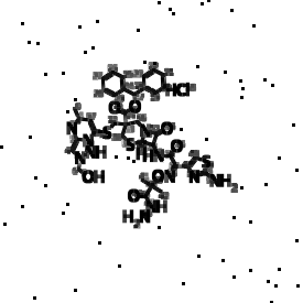 CC1=NC2=CN(CO)NN2C(SCC2(C(=O)OC(c3ccccc3)c3ccccc3)CS[C@@H]3C(NC(=O)C(=NOC(C)(C)C(=O)NN)c4csc(N)n4)C(=O)N3C2)=C1.Cl